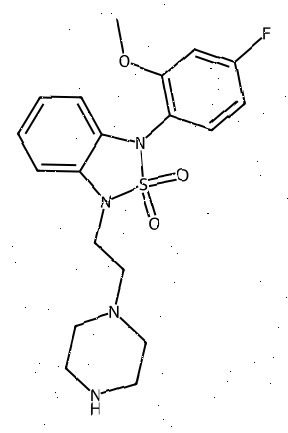 COc1cc(F)ccc1N1c2ccccc2N(CCN2CCNCC2)S1(=O)=O